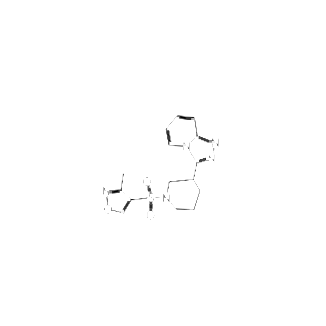 Cc1nocc1S(=O)(=O)N1CCCC(c2nnc3ccccn23)C1